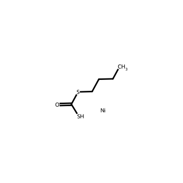 CCCCSC(=O)S.[Ni]